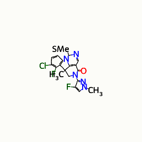 CSc1ncc2c(n1)C(C)(c1cccc(Cl)c1F)CN(c1nn(C)cc1F)C2=O